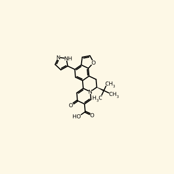 CC(C)(C)[C@@H]1Cc2c(cc(-c3ccn[nH]3)c3ccoc23)-c2cc(=O)c(C(=O)O)cn21